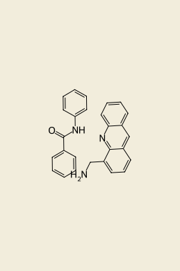 NCc1cccc2cc3ccccc3nc12.O=C(Nc1ccccc1)c1ccccc1